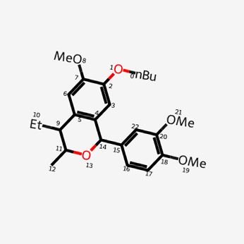 CCCCOc1cc2c(cc1OC)C(CC)C(C)OC2c1ccc(OC)c(OC)c1